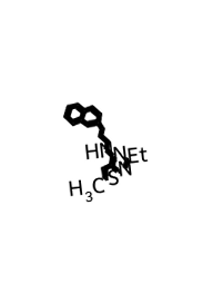 CCc1nc(NCCCc2ccc3ccccc3c2)c2cc(C)sc2n1